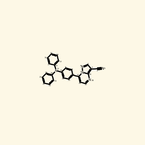 N#Cc1cnn2c(-c3ccc(N(c4ccccc4)c4ccccc4)cc3)ccnc12